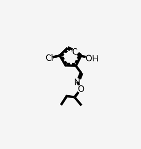 CCC(C)O/N=C/c1cc(Cl)ccc1O